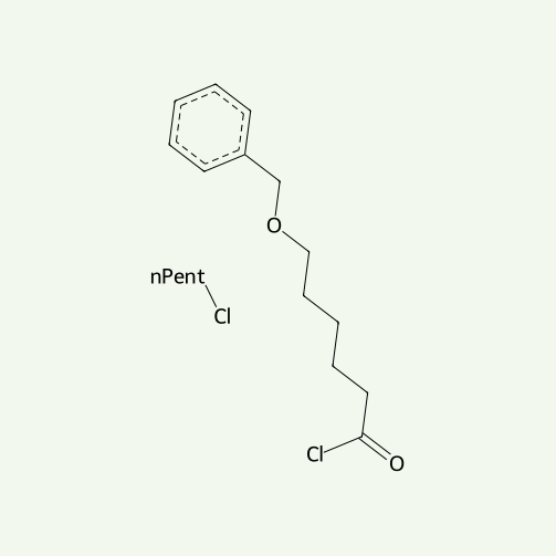 CCCCCCl.O=C(Cl)CCCCCOCc1ccccc1